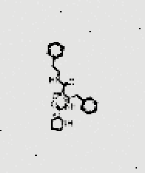 O=C(NCCc1ccccc1)C(=O)[C@@H](Cc1ccccc1)NC(=O)[C@H]1CCCN1